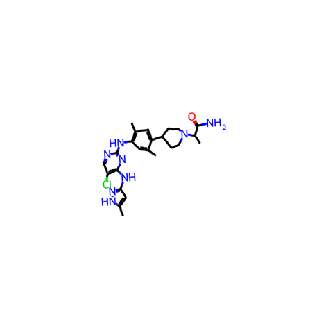 Cc1cc(Nc2nc(Nc3cc(C)c(C4CCN(C(C)C(N)=O)CC4)cc3C)ncc2Cl)n[nH]1